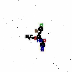 C=CCOc1cc(C=Cc2ccc(Cl)cc2Br)cc(CNC(=O)C2CCNCC2)c1